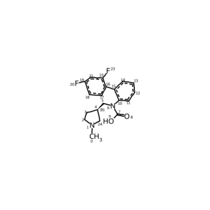 CN1CC[C@@H](CN(C(=O)O)c2ccccc2-c2ccc(F)cc2F)C1